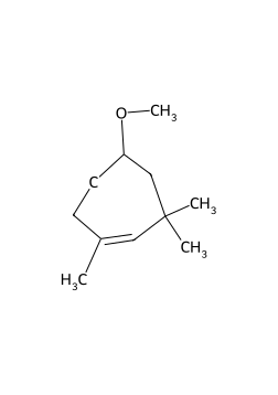 COC1CCC(C)=CC(C)(C)C1